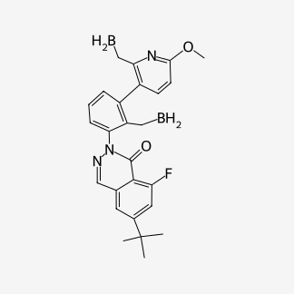 BCc1nc(OC)ccc1-c1cccc(-n2ncc3cc(C(C)(C)C)cc(F)c3c2=O)c1CB